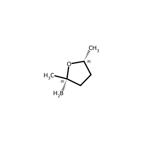 B[C@@]1(C)CC[C@@H](C)O1